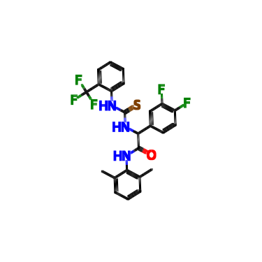 Cc1cccc(C)c1NC(=O)C(NC(=S)Nc1ccccc1C(F)(F)F)c1ccc(F)c(F)c1